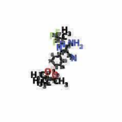 CC(n1nc(-c2ccc(B3OC(C)(C)C(C)(C)O3)cc2)c(C#N)c1N)C(F)(F)F